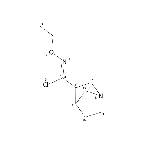 CCON=C(Cl)C1CN2CCC1C2